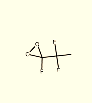 CC(F)(F)C1(F)OO1